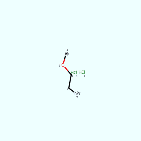 CCCCC[O][Al].Cl.Cl